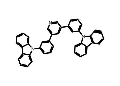 c1ccc2c3ccccc3n(-c3cccc(-c4cncc(-c5cccc(-n6c7ccccc7c7ccccc76)c5)c4)c3)c2c#1